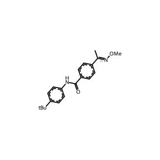 CO/N=C(\C)c1ccc(C(=O)Nc2ccc(C(C)(C)C)cc2)cc1